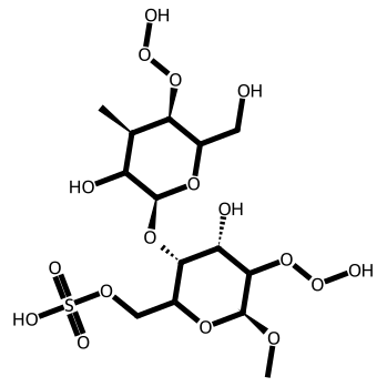 CO[C@H]1OC(COS(=O)(=O)O)[C@H](O[C@@H]2OC(CO)[C@H](OOO)[C@H](C)C2O)[C@H](O)C1OOO